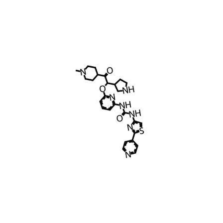 CN1CCC(C(=O)C(Oc2cccc(NC(=O)Nc3csc(-c4ccncc4)n3)n2)C2CCNC2)CC1